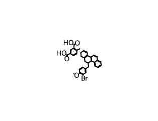 COc1ccc(CC2CC3=C(C=CCC3)c3ccc4ccccc4c32)cc1Br.Cc1ccc(C(=O)O)cc1C(=O)O